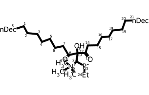 CCCCCCCCCCCCCCCCCC(=O)C(O)(C(=O)CCCCCCCCCCCCCCCCC)C([P-]CC)[N+](C)(C)C